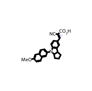 COc1ccc2cc(N3c4ccc(/C=C(\C#N)C(=O)O)cc4C4CCCC43)ccc2c1